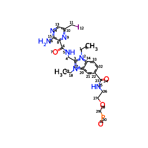 CCn1c(CNC(=O)c2nc(CI)cnc2N)[n+](CC)c2cc(C(=O)NCCOCP=O)ccc21